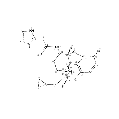 O=C(Cc1ncc[nH]1)N[C@H]1CC[C@@]2(O)[C@H]3Cc4ccc(O)c5c4[C@@]2(CCN3CC2CC2)[C@H]1O5